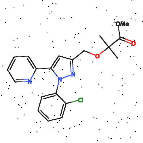 COC(=O)C(C)(C)OCc1cc(-c2ccccn2)n(-c2ccccc2Cl)n1